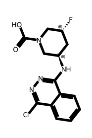 O=C(O)N1C[C@H](F)C[C@@H](Nc2nnc(Cl)c3ccccc23)C1